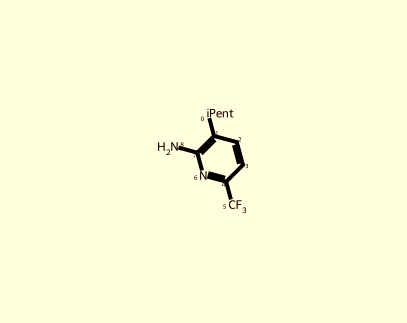 CCCC(C)c1ccc(C(F)(F)F)nc1N